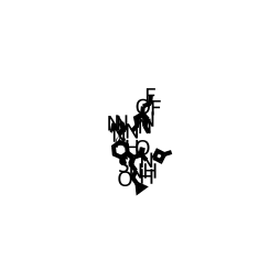 CC1CC(NC(=O)c2c(NC(=O)C3CC3)sc3c2C[C@@H](n2cnnc2Nc2cc(OC(F)F)nn2C)CC3)C1